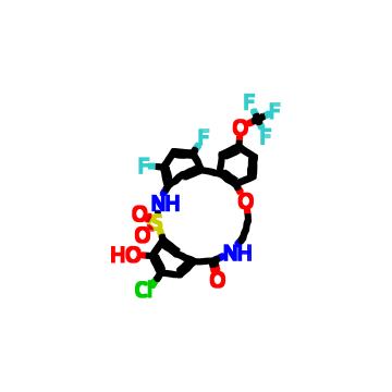 O=C1NCCOc2ccc(OC(F)(F)F)cc2-c2cc(c(F)cc2F)NS(=O)(=O)c2cc1cc(Cl)c2O